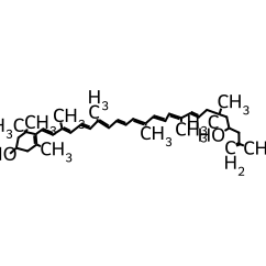 C=C(C)CC(O)CC(C)(C)C/C=C/C(C)=C/C=C/C(C)=C/C=C/C=C(C)/C=C/C=C(C)/C=C/C1=C(C)CC(O)CC1(C)C